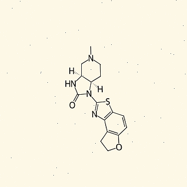 CN1CC[C@@H]2[C@H](C1)NC(=O)N2c1nc2c3c(ccc2s1)OCC3